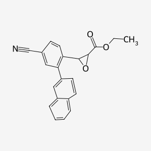 CCOC(=O)C1OC1c1ccc(C#N)cc1-c1ccc2ccccc2c1